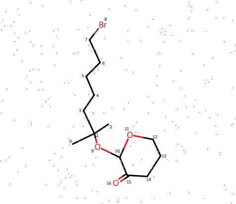 CC(C)(CCCCCBr)OC1OCCCC1=O